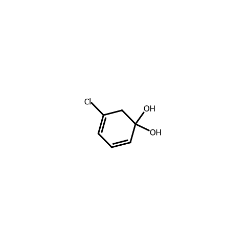 OC1(O)C=CC=C(Cl)C1